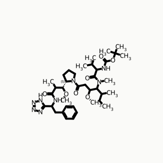 CCC(C)C(C(CC(=O)N1CCC[C@H]1C(OC)C(C)C(=O)NC(Cc1ccccc1)c1nnn[nH]1)OC)N(C)C(=O)C(NC(=O)OC(C)(C)C)C(C)C